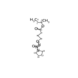 CCC(C)OC(=O)CCCO/N=[N+](\[O-])N1CCCC1